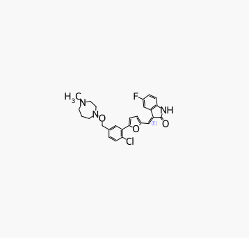 CN1CCCN(OCc2ccc(Cl)c(-c3ccc(/C=C4/C(=O)Nc5ccc(F)cc54)o3)c2)CC1